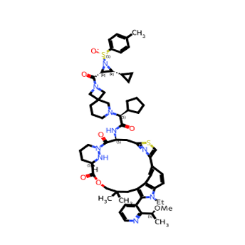 CCn1c(-c2cccnc2[C@H](C)OC)c2c3cc(ccc31)-c1csc(n1)C[C@H](NC(=O)[C@H](C1CCCC1)N1CCCC3(CN(C(=O)[C@H]4[C@@H](C5CC5)N4[S@+]([O-])c4ccc(C)cc4)C3)C1)C(=O)N1CCC[C@H](N1)C(=O)OCC(C)(C)C2